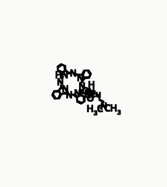 CN(C)CC[CH2][Cu][NH]S(=O)(=O)c1cccc2c3nc4nc(nc5[nH]c(nc6nc(nc([nH]3)c12)-c1ccccc1-6)c1ccccc51)-c1ccccc1-4